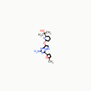 Cc1ccc(-c2nc(N)nc3c(Oc4cccc(C(C)(C)O)n4)cnn23)o1